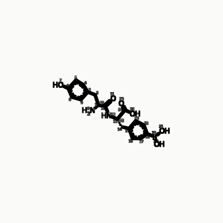 N[C@@H](Cc1ccc(O)cc1)C(=O)N[C@@H](Cc1ccc(B(O)O)cc1)C(=O)O